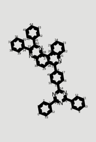 c1ccc(-c2nc(-c3ccccc3)nc(-c3ccc(-c4nc5ccccc5c5c4ccc4nc(-c6ccccc6)c(-c6ccccc6)nc45)cc3)n2)cc1